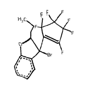 CCC1Oc2ccccc2C1(Br)C1=C(F)C(F)(F)C(F)(F)C1(F)F